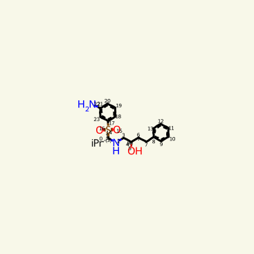 CC(C)[C@@H](NC[C@H](O)[CH]Cc1ccccc1)S(=O)(=O)c1cccc(N)c1